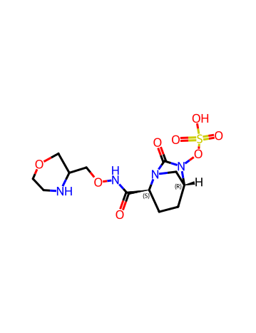 O=C(NOCC1COCCN1)[C@@H]1CC[C@@H]2CN1C(=O)N2OS(=O)(=O)O